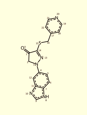 O=C1CN(c2ccc3[nH]cnc3c2)N=C1SCc1ccncc1